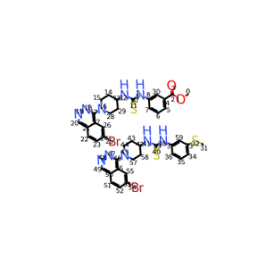 COC(=O)c1cccc(NC(=S)NC2CCN(c3nncc4ccc(Br)cc34)CC2)c1.CSc1cccc(NC(=S)NC2CCN(c3nncc4ccc(Br)cc34)CC2)c1